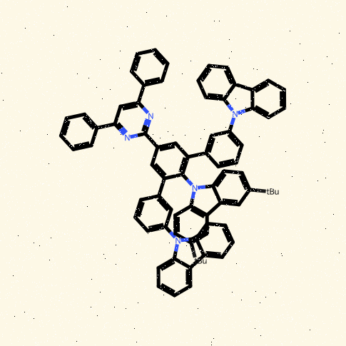 CC(C)(C)c1ccc2c(c1)c1cc(C(C)(C)C)ccc1n2-c1c(-c2cccc(-n3c4ccccc4c4ccccc43)c2)cc(-c2nc(-c3ccccc3)cc(-c3ccccc3)n2)cc1-c1cccc(-n2c3ccccc3c3ccccc32)c1